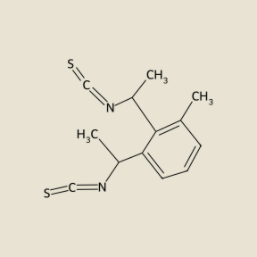 Cc1cccc(C(C)N=C=S)c1C(C)N=C=S